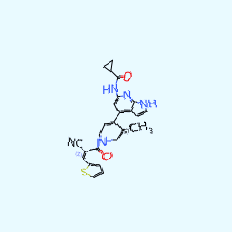 C[C@@H]1CN(C(=O)/C(C#N)=C\c2cccs2)CC=C1c1cc(NC(=O)C2CC2)nc2[nH]ccc12